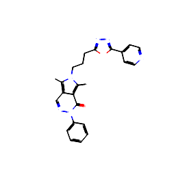 Cc1c2cnn(-c3ccccc3)c(=O)c2c(C)n1CCCc1nnc(-c2ccncc2)o1